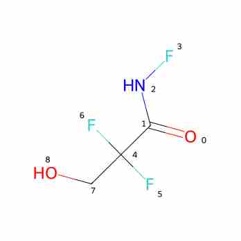 O=C(NF)C(F)(F)CO